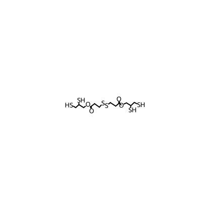 O=C(CCSSCCC(=O)OCC(S)CS)OCC(S)CS